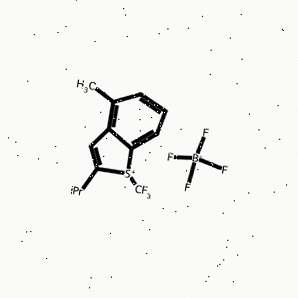 Cc1cccc2c1cc(C(C)C)[s+]2C(F)(F)F.F[B-](F)(F)F